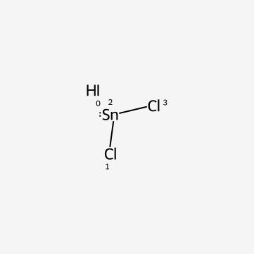 I.[Cl][Sn][Cl]